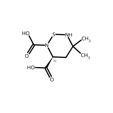 CC1(C)C[C@@H](C(=O)O)N(C(=O)O)SN1